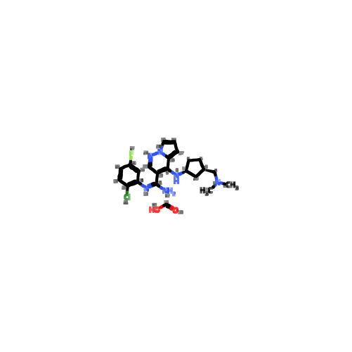 CN(C)C[C@@H]1CC[C@H](Nc2c(C(N)=Nc3cc(F)ccc3Cl)cnn3cccc23)C1.O=CO